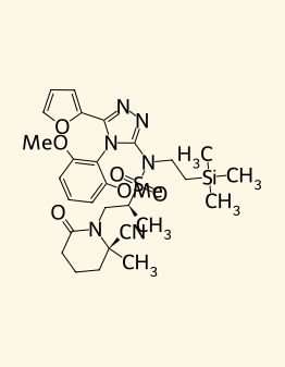 COc1cccc(OC)c1-n1c(-c2ccco2)nnc1N(CC[Si](C)(C)C)S(=O)(=O)[C@@H](C)CN1C(=O)CCC[C@]1(C)C#N